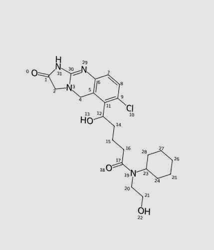 O=C1CN2Cc3c(ccc(Cl)c3C(O)CCCC(=O)N(CCO)C3CCCCC3)N=C2N1